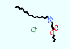 CCCCCCCCCCCCCC[N+](C)(C)CCC(=O)OCCCC.[Cl-]